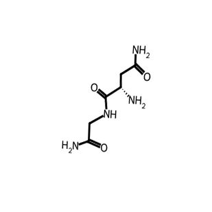 NC(=O)CNC(=O)[C@@H](N)CC(N)=O